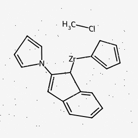 C1=CC[C]([Zr][CH]2C(n3cccc3)=Cc3ccccc32)=C1.CCl